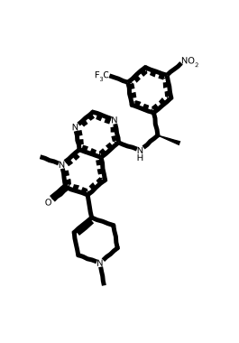 C[C@@H](Nc1ncnc2c1cc(C1=CCN(C)CC1)c(=O)n2C)c1cc([N+](=O)[O-])cc(C(F)(F)F)c1